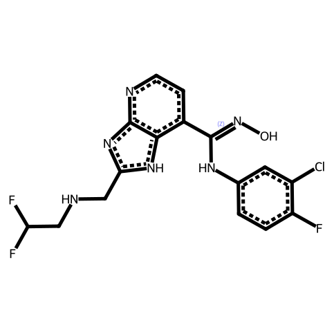 O/N=C(\Nc1ccc(F)c(Cl)c1)c1ccnc2nc(CNCC(F)F)[nH]c12